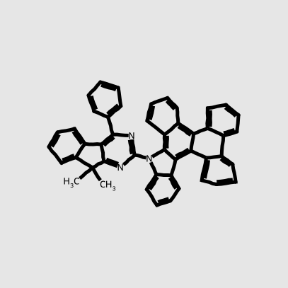 CC1(C)c2ccccc2-c2c(-c3ccccc3)nc(-n3c4ccccc4c4c5c6ccccc6c6ccccc6c5c5ccccc5c43)nc21